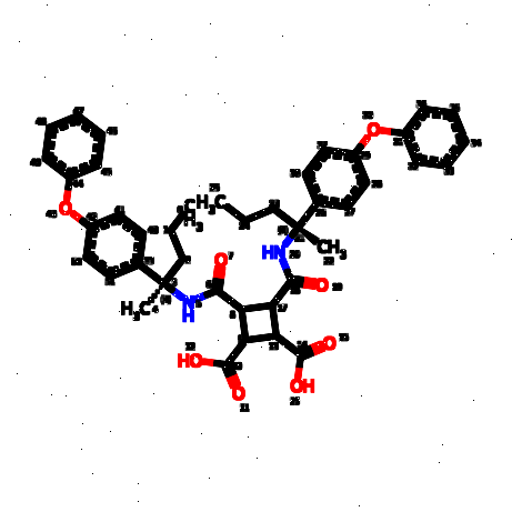 CCC[C@@](C)(NC(=O)C1C(C(=O)O)C(C(=O)O)C1C(=O)N[C@](C)(CCC)c1ccc(Oc2ccccc2)cc1)c1ccc(Oc2ccccc2)cc1